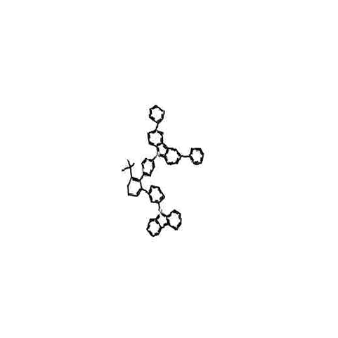 CC(C)(C)C1=C(c2ccc(-n3c4ccc(-c5ccccc5)cc4c4cc(-c5ccccc5)ccc43)cc2)C(c2cccc(-n3c4ccccc4c4ccccc43)c2)=CCC1